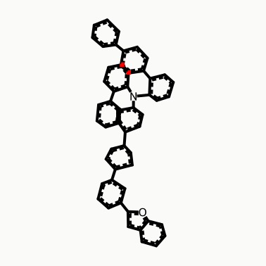 c1ccc(-c2ccc(-c3ccccc3N(c3ccc(-c4ccc(-c5cccc(-c6cc7ccccc7o6)c5)cc4)cc3)c3ccccc3-c3ccccc3)cc2)cc1